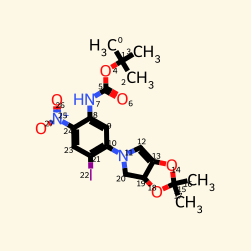 CC(C)(C)OC(=O)Nc1cc(N2C=C3OC(C)(C)OC3C2)c(I)cc1[N+](=O)[O-]